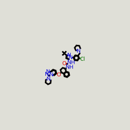 CC(C)(C)c1cc(NC(=O)N[C@H]2CC[C@@H](Oc3ccc4nnc(N5CCCCC5)n4c3)c3ccccc32)n(-c2ccc(Cl)c(CN3CCCCC3)c2)n1